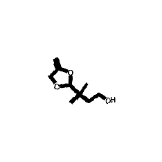 C=C1COC(C(C)(C)CCO)O1